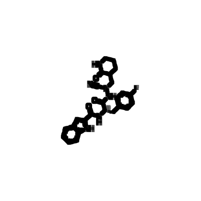 N#CN(CC1CCCNC1=O)NC(=O)[C@H](Cc1ccc(F)cc1)NC(=O)c1cc2ccccc2[nH]1